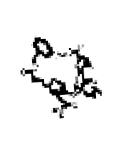 COC(=O)c1ccc(-c2nc(C)ccc2C(=O)Nc2ccc(CCCC(=O)OCc3ccccc3)cc2C(=O)N(C)C)cc1